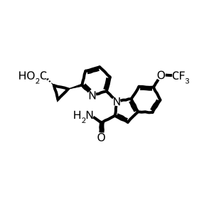 NC(=O)c1cc2ccc(OC(F)(F)F)cc2n1-c1cccc([C@H]2C[C@@H]2C(=O)O)n1